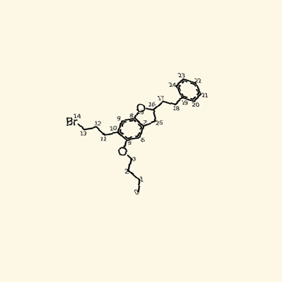 CCCCOc1cc2c(cc1CCCBr)OC(CCc1ccccc1)C2